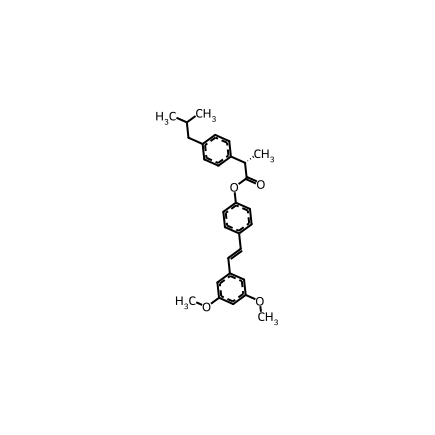 COc1cc(/C=C/c2ccc(OC(=O)[C@@H](C)c3ccc(CC(C)C)cc3)cc2)cc(OC)c1